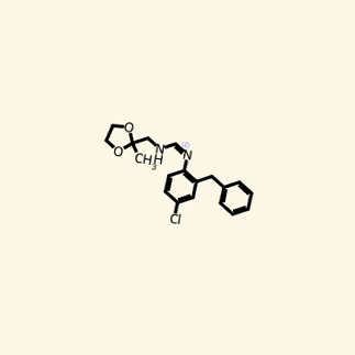 CC1(CN/C=N\c2ccc(Cl)cc2Cc2ccccc2)OCCO1